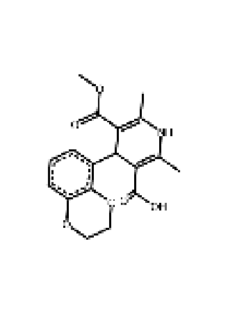 COC(=O)C1=C(C)NC(C)=C(C(=O)O)C1c1cccc2c1OCCO2